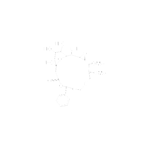 COC1CCCCC(c2ccccc2)OC(=O)CC2(O)CC(O)C(C)C(O2)C(C)C2OC2C1OC